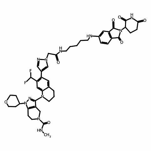 CNC(=O)N1CCc2c(c(N3CCCc4cc(-c5cnn(CC(=O)NCCCCCNc6ccc7c(c6)C(=O)N(C6CCC(=O)NC6=O)C7=O)c5)c(C(F)F)cc43)nn2C2CCOCC2)C1